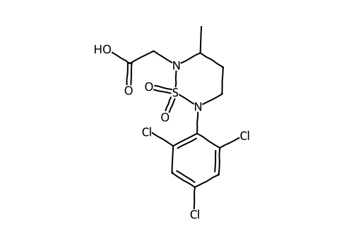 CC1CCN(c2c(Cl)cc(Cl)cc2Cl)S(=O)(=O)N1CC(=O)O